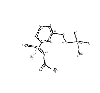 CC(C)(C)C(=O)N=[S@@](=O)(c1cccc(CO[Si](C)(C)C(C)(C)C)c1)C(C)(C)C